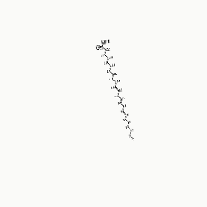 CCCCCCC=CCC=CCC=CCCCCCCCCCC(=O)O